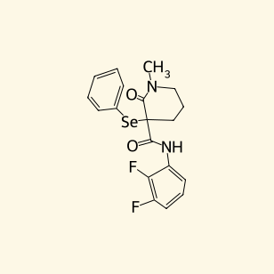 CN1CCCC([Se]c2ccccc2)(C(=O)Nc2cccc(F)c2F)C1=O